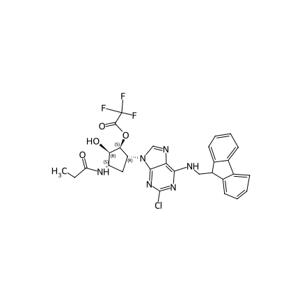 CCC(=O)N[C@H]1C[C@@H](n2cnc3c(NCC4c5ccccc5-c5ccccc54)nc(Cl)nc32)[C@H](OC(=O)C(F)(F)F)[C@@H]1O